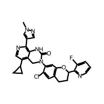 Cn1cc(-c2ncc(C3CC3)c3c2NC(=O)N(c2cc4c(cc2Cl)CCC(c2ncccc2F)O4)C3)cn1